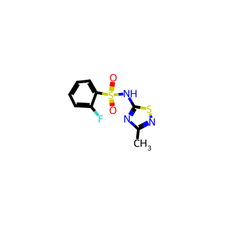 Cc1nsc(NS(=O)(=O)c2ccccc2F)n1